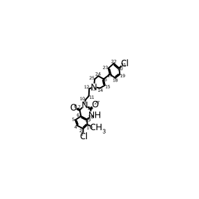 Cc1c(Cl)ccc2c(=O)n(CCCN3CC=C(c4ccc(Cl)cc4)CC3)c(=O)[nH]c12